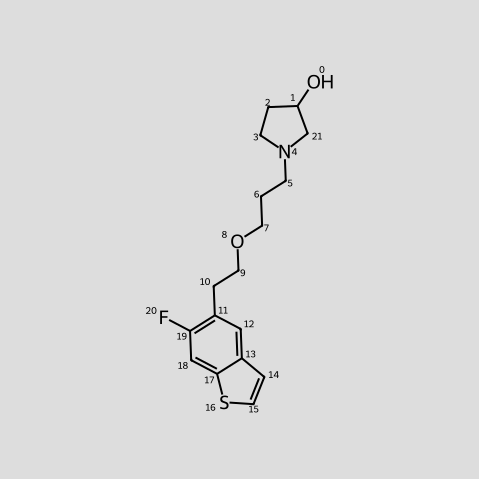 OC1CCN(CCCOCCc2cc3ccsc3cc2F)C1